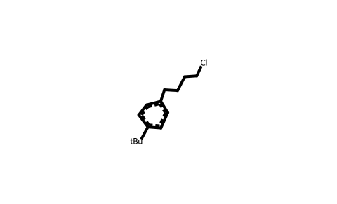 CC(C)(C)c1ccc(CCCCCl)cc1